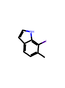 Cc1ccc2cc[nH]c2c1I